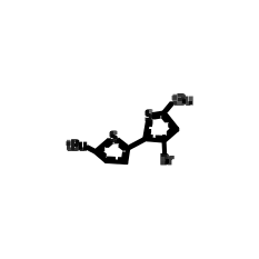 CC(C)(C)c1ccc(-c2sc(C(C)(C)C)cc2Br)s1